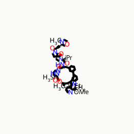 CCn1c(-c2cccnc2[C@H](C)OC)c2c3cc(ccc31)-c1cccc(c1)C[C@H](NC(=O)[C@H](C(C)C)N1CC[C@]3(CCN(C(=O)C#C[C@@H]4COCCN4C)C3)C1=O)C(=O)N1CCC[C@@]([SiH3])(N1)C(=O)OCC(C)(C)C2